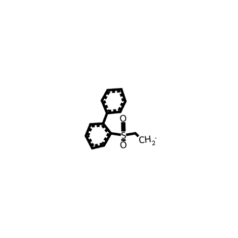 [CH2]CS(=O)(=O)c1ccccc1-c1ccccc1